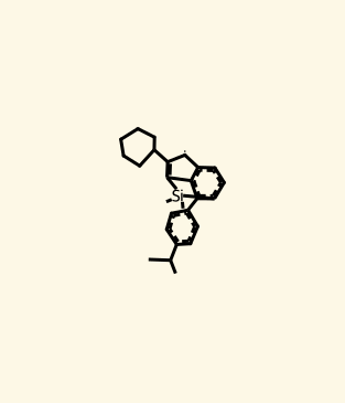 CC(C)c1ccc(-c2c3ccc4c2C(=C(C2CCCCC2)[CH]4)[Si]3(C)C)cc1